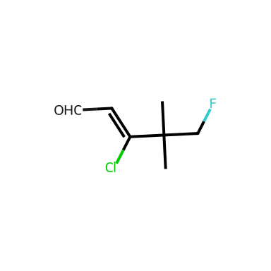 CC(C)(CF)C(Cl)=CC=O